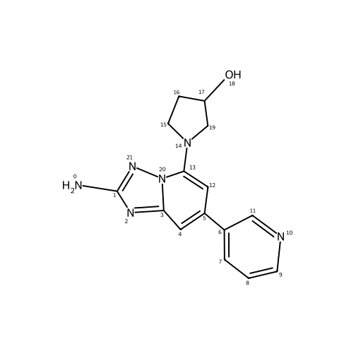 Nc1nc2cc(-c3cccnc3)cc(N3CCC(O)C3)n2n1